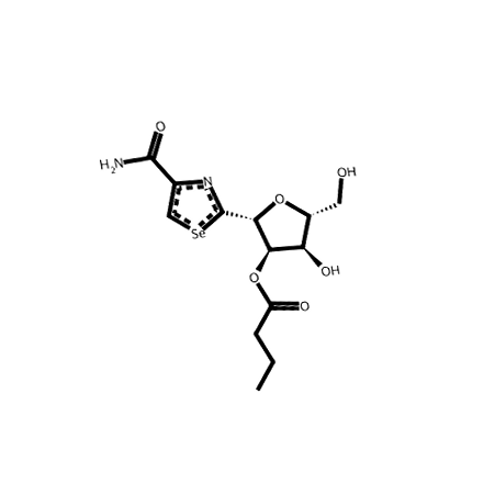 CCCC(=O)O[C@@H]1[C@H](O)[C@@H](CO)O[C@H]1c1nc(C(N)=O)c[se]1